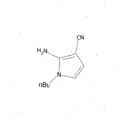 CCCCn1ccc(C#N)c1N